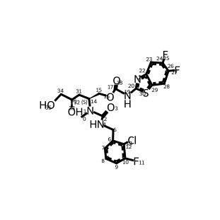 CN(C(=O)NCc1cccc(F)c1Cl)[C@H](COC(=O)Nc1nc2cc(F)c(F)cc2s1)C[C@@H](O)CO